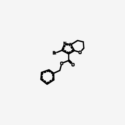 O=C(OCc1ccccc1)c1c(Br)nn2c1OCCC2